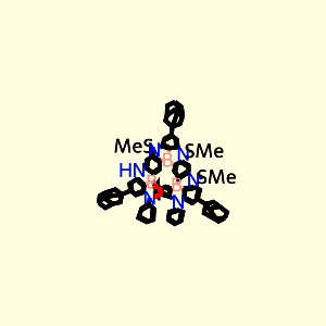 CSN1c2cc3c(cc2B2c4cc5c(cc4N(SC)c4cc(C67CC8CC(CC(C8)C6)C7)cc1c42)N(SC)c1cc(C24CC6CC(CC(C6)C2)C4)cc2c1B5c1ccccc1N2c1ccccc1)B1c2ccccc2N(c2ccccc2)c2cc(C45CC6CC(CC(C6)C4)C5)cc(c21)N3